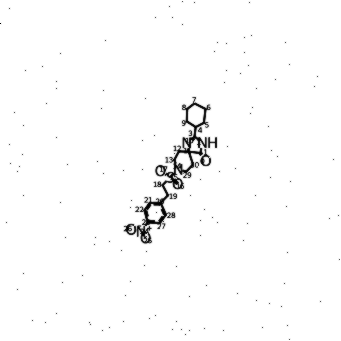 O=C1NC(C2CCCCC2)=NC12CCN(S(=O)(=O)CCc1ccc([N+](=O)[O-])cc1)CC2